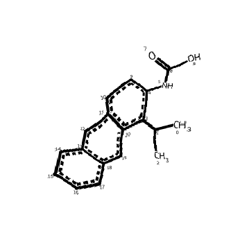 CC(C)c1c(NC(=O)O)ccc2cc3ccccc3cc12